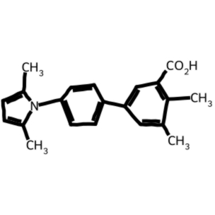 Cc1cc(-c2ccc(-n3c(C)ccc3C)cc2)cc(C(=O)O)c1C